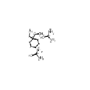 CCC1(CC)CCCCC1.NC(N)=O.NC(N)=O